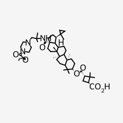 CC(C)(CN1CCN(S(C)(=O)=O)CC1)NC(=O)[C@]12CC[C@@H](C3(C)CC3)C1[C@H]1CCC3[C@@]4(C)CC[C@H](OC(=O)[C@H]5C[C@@H](C(=O)O)C5(C)C)C(C)(C)C4CC[C@@]3(C)[C@]1(C)CC2